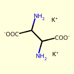 NC(C(=O)[O-])C(N)C(=O)[O-].[K+].[K+]